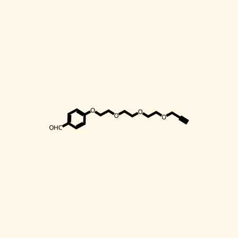 C#CCOCCOCCOCCOc1ccc(C=O)cc1